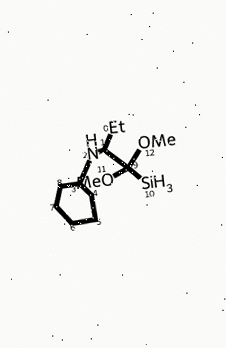 CCC(NC1CCCCC1)C([SiH3])(OC)OC